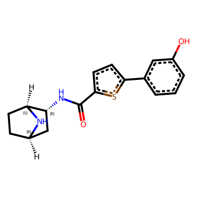 O=C(N[C@@H]1C[C@H]2CC[C@@H]1N2)c1ccc(-c2cccc(O)c2)s1